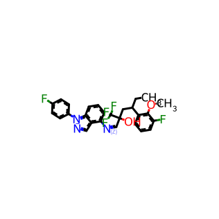 CCC(CC(O)(/C=N\c1cccc2c1cnn2-c1ccc(F)cc1)C(F)(F)F)c1cccc(F)c1OC